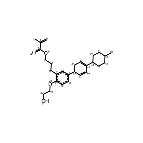 C=C(C)C(=O)OCCCc1cc(C2C=CC(C3CCC(C)CC3)=CC2)ccc1OCCO